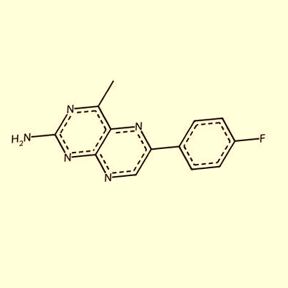 Cc1nc(N)nc2ncc(-c3ccc(F)cc3)nc12